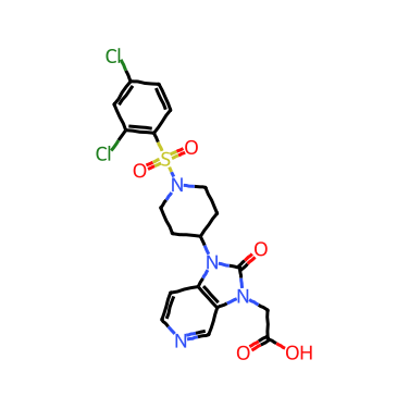 O=C(O)Cn1c(=O)n(C2CCN(S(=O)(=O)c3ccc(Cl)cc3Cl)CC2)c2ccncc21